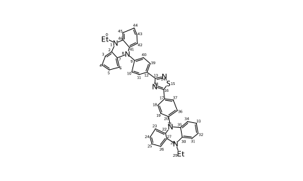 CCN1c2ccccc2N(c2ccc(-c3nsc(-c4ccc(N5c6ccccc6N(CC)c6ccccc65)cc4)n3)cc2)c2ccccc21